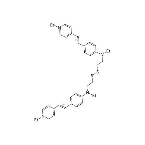 CCN1C=CC(/C=C/c2ccc(N(CC)CCSSCCN(CC)c3ccc(/C=C/c4cc[n+](CC)cc4)cc3)cc2)=CC1